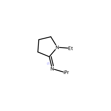 CCN1CCC/C1=N/C(C)C